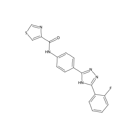 O=C(Nc1ccc(-c2nnc(-c3ccccc3F)[nH]2)cc1)c1cscn1